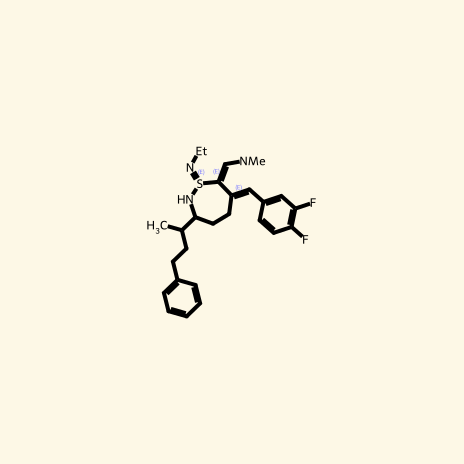 CC/N=S1/NC(C(C)CCc2ccccc2)CCC(=C\c2ccc(F)c(F)c2)/C1=C\NC